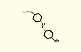 CCCCC[C@H]1CC[C@H](OC[C@H]2CC[C@H](CCC)CC2)CC1